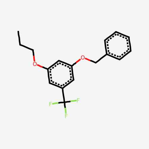 CCCOc1cc(OCc2ccccc2)cc(C(F)(F)F)c1